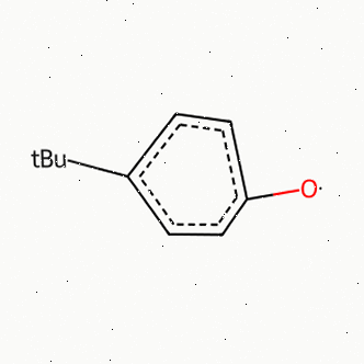 CC(C)(C)c1ccc([O])cc1